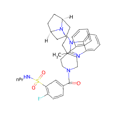 CCCNS(=O)(=O)c1cc(C(=O)N2CCC(CCN3[C@@H]4CC[C@H]3CC(n3c(C)nc5ccccc53)C4)(c3ccccc3)CC2)ccc1F